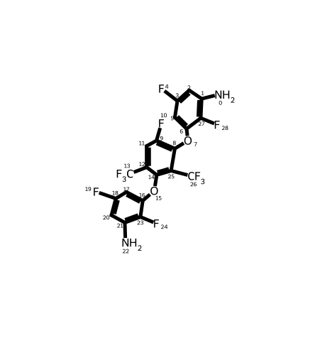 Nc1cc(F)cc(Oc2c(F)cc(C(F)(F)F)c(Oc3cc(F)cc(N)c3F)c2C(F)(F)F)c1F